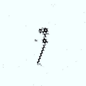 CCCCCCCCCCCCCCOc1ccc(OCC(=O)Nc2ccccc2C[n+]2cscc2C)cc1F.[Br-]